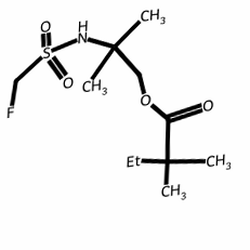 CCC(C)(C)C(=O)OCC(C)(C)NS(=O)(=O)CF